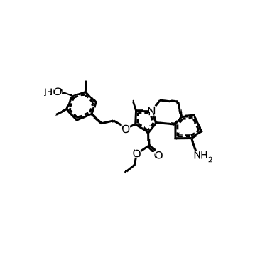 CCOC(=O)c1c(OCCc2cc(C)c(O)c(C)c2)c(C)n2c1-c1cc(N)ccc1CC2